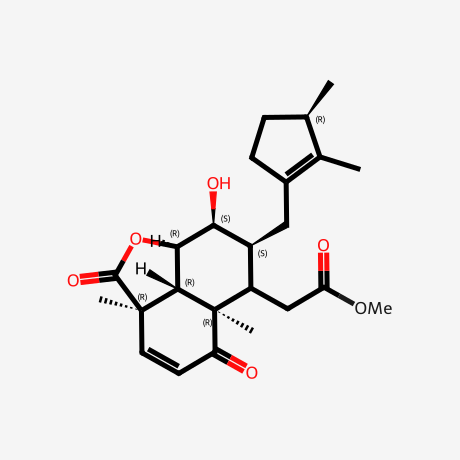 COC(=O)CC1[C@H](CC2=C(C)[C@H](C)CC2)[C@H](O)[C@@H]2OC(=O)[C@]3(C)C=CC(=O)[C@@]1(C)[C@@H]23